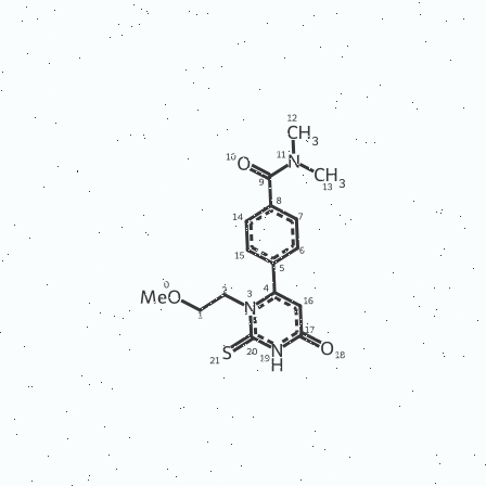 COCCn1c(-c2ccc(C(=O)N(C)C)cc2)cc(=O)[nH]c1=S